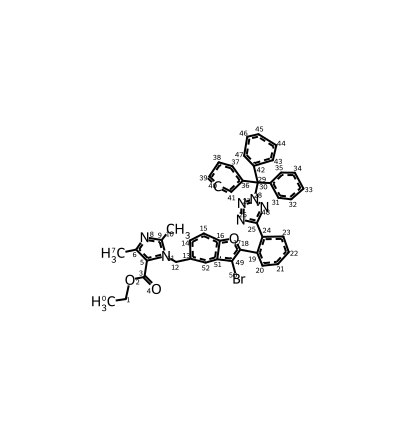 CCOC(=O)c1c(C)nc(C)n1Cc1ccc2oc(-c3ccccc3-c3nnn(C(c4ccccc4)(c4ccccc4)c4ccccc4)n3)c(Br)c2c1